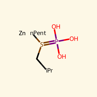 CCCCCS(CC(C)C)=P(O)(O)O.[Zn]